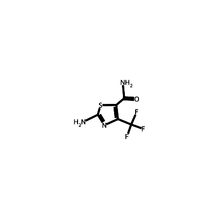 NC(=O)c1sc(N)nc1C(F)(F)F